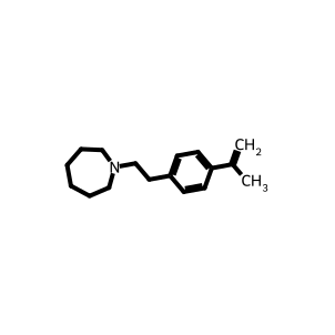 C=C(C)c1ccc(CCN2CCCCCC2)cc1